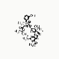 COc1nc(N)nc2c1ncn2[C@@H]1O[C@H](COP(=O)(N[C@@H](C)C(=O)OC(C)C)Oc2cccc(O)c2)[C@@H](O)[C@@]1(C)C#N